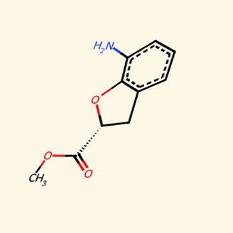 COC(=O)[C@H]1Cc2cccc(N)c2O1